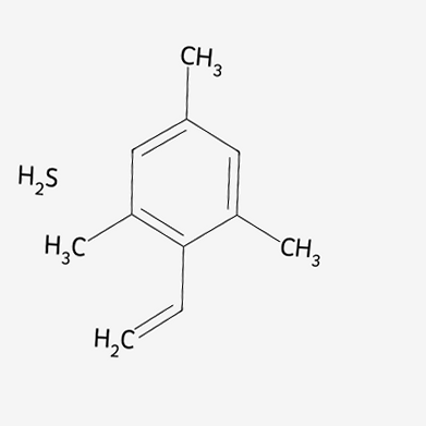 C=Cc1c(C)cc(C)cc1C.S